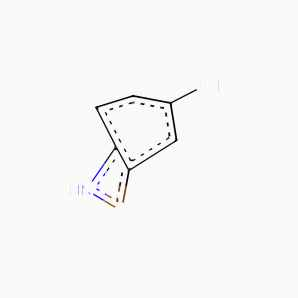 Cc1ccc2[nH]sc2c1